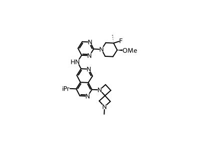 CO[C@H]1CCN(c2nccc(Nc3cc4c(C(C)C)cnc(N5CCC56CN(C)C6)c4cn3)n2)C[C@@]1(C)F